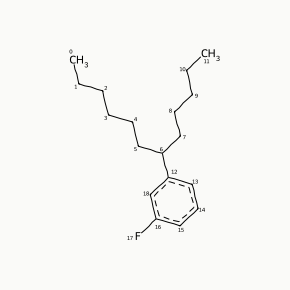 CCCCCCC(CCCCC)c1cccc(F)c1